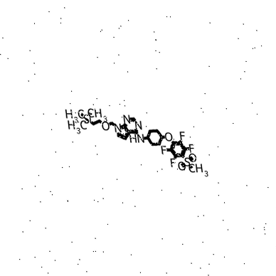 C[Si](C)(C)CCOCn1ccc2c(NC3CCC(Oc4c(F)c(F)c(S(C)(=O)=O)c(F)c4F)CC3)ncnc21